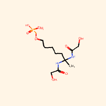 CC(CCCCCOP(=O)(O)O)(NC(=O)CO)NC(=O)CO